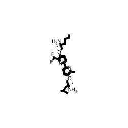 CCCC[C@](C)(N)COc1ccc(-c2ccc(OC[C@@](C)(N)CC(C)C)c(C)n2)nc1C(F)F